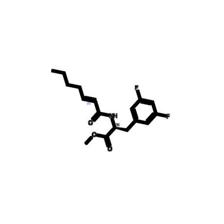 CCCC/C=C/C(=O)N[C@@H](Cc1cc(F)cc(F)c1)C(=O)OC